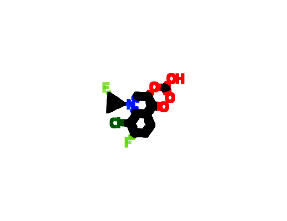 O=C(O)Oc1cn([C@@H]2C[C@H]2F)c2c(Cl)c(F)ccc2c1=O